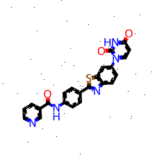 O=C(Nc1ccc(-c2nc3ccc(-n4ccc(=O)[nH]c4=O)cc3s2)cc1)c1cccnc1